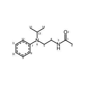 CC(=O)NCCN(c1ccccc1)C(C)C